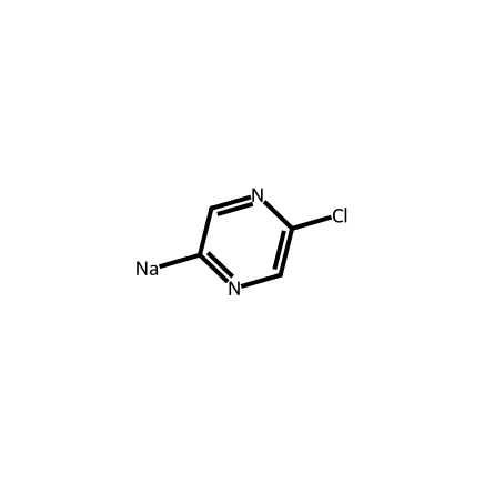 [Na][c]1cnc(Cl)cn1